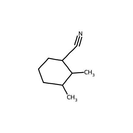 CC1CCCC(C#N)C1C